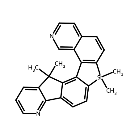 CC1(C)c2cccnc2-c2ccc3c(c21)-c1c(ccc2ccncc12)[Si]3(C)C